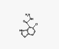 NNC(=O)c1c(Cl)ccc2cc[nH]c12